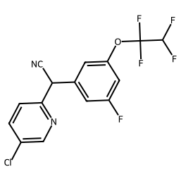 N#CC(c1cc(F)cc(OC(F)(F)C(F)F)c1)c1ccc(Cl)cn1